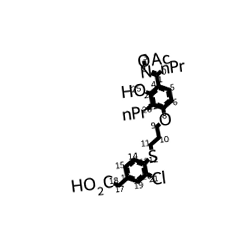 CCCC(=NOC(C)=O)c1ccc(OCCCSc2ccc(CC(=O)O)cc2Cl)c(CCC)c1O